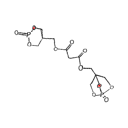 O=C(CC(=O)OCC12COP(=O)(OC1)OC2)OCC12COP(=O)(OC1)OC2